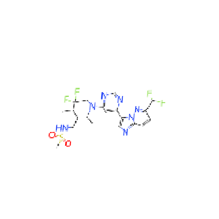 CC1C(CNS(C)(=O)=O)C(C)C(F)(F)CN1c1cc(-c2cnc3ccc(C(F)F)nn23)ncn1